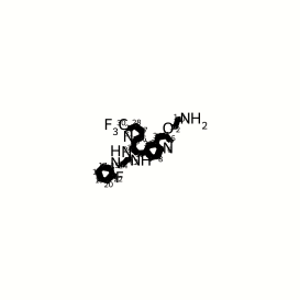 NCCOc1cnc2ccc(-c3[nH]c(CNc4ccccc4F)nc3-c3cccc(C(F)(F)F)n3)cc2c1